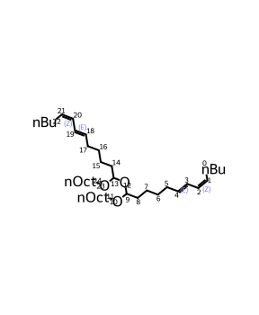 CCCC/C=C\C=C\CCCCC(OCCCCCCCC)OC(CCCC/C=C/C=C\CCCC)OCCCCCCCC